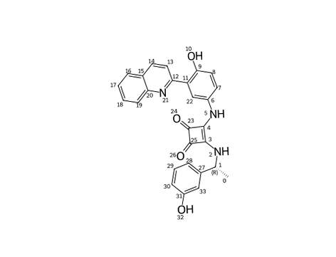 C[C@@H](Nc1c(Nc2ccc(O)c(-c3ccc4ccccc4n3)c2)c(=O)c1=O)c1cccc(O)c1